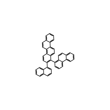 c1ccc2c(-c3ccc4c(ccc5c6ccccc6ccc45)c3-c3cccc4c3ccc3ccccc34)cccc2c1